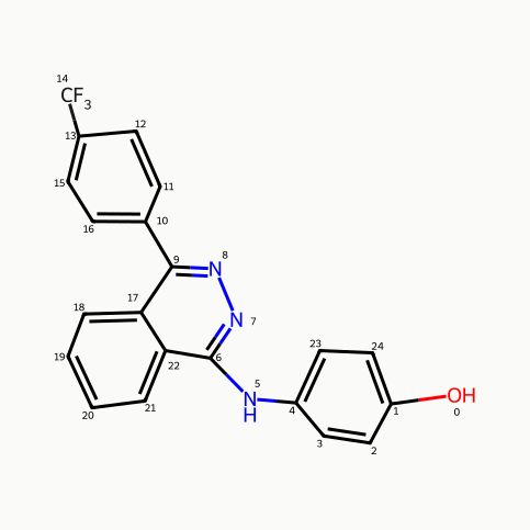 Oc1ccc(Nc2nnc(-c3ccc(C(F)(F)F)cc3)c3ccccc23)cc1